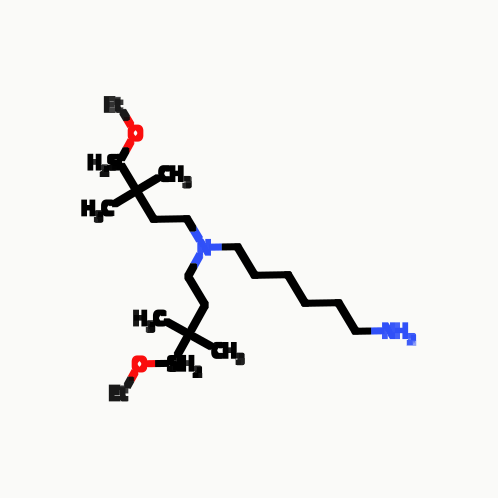 CCO[SiH2]C(C)(C)CCN(CCCCCCN)CCC(C)(C)[SiH2]OCC